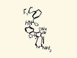 COc1c(-c2cc(NC(=O)c3cccc(C(F)(F)F)c3)ccc2C)cc2cnc(N)nc2c1Br